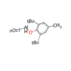 CCCCCCC[CH2][AlH][O]c1c(C(C)(C)C)cc(C)cc1C(C)(C)C